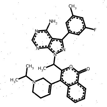 Cc1cc(F)cc(-c2nn(C(C)c3oc(=O)c4ccccc4c3C3=CCCN(C(C)C)C3)c3ncnc(N)c23)c1